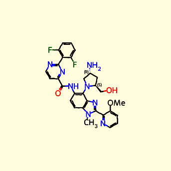 COc1cccnc1-c1nc2c(N3C[C@H](N)C[C@H]3CO)c(NC(=O)c3ccnc(-c4c(F)cccc4F)n3)ccc2n1C